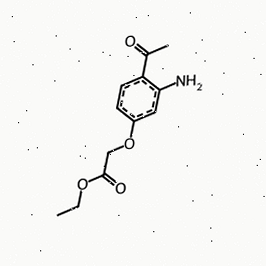 CCOC(=O)COc1ccc(C(C)=O)c(N)c1